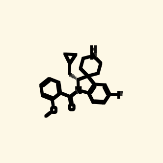 COc1ccccc1C(=O)N1c2ccc(F)cc2C2(CCNCC2)[C@H]1CC1CC1